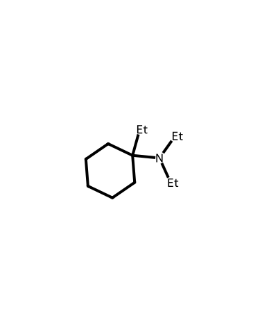 CCN(CC)C1(CC)CCCCC1